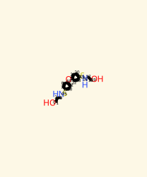 OCCCNSc1ccc(Oc2ccc(SNCCO)cc2)cc1